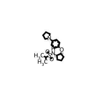 CC(C)S(=O)(=O)N[C@H]1CCC[C@H]1Oc1ccc(N2CCCC2)cc1